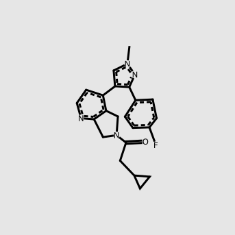 Cn1cc(-c2ccnc3c2CN(C(=O)CC2CC2)C3)c(-c2ccc(F)cc2)n1